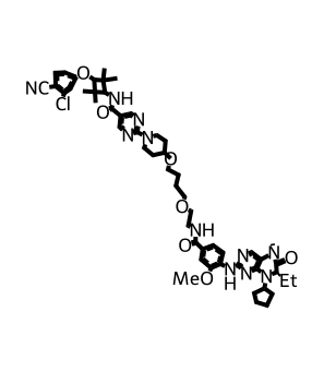 CC[C@@H]1C(=O)N(C)c2cnc(Nc3ccc(C(=O)NCCOCCCCOC4CCN(c5ncc(C(=O)NC6C(C)(C)C(Oc7ccc(C#N)c(Cl)c7)C6(C)C)cn5)CC4)cc3OC)nc2N1C1CCCC1